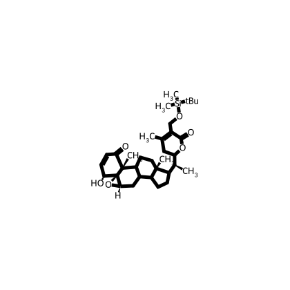 CC1=C(CO[Si](C)(C)C(C)(C)C)C(=O)OC([C@@H](C)C2CCC3C4C[C@H]5O[C@]56[C@H](O)C=CC(=O)[C@]6(C)C4CC[C@@]32C)C1